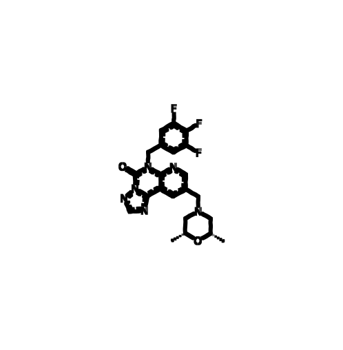 C[C@@H]1CN(Cc2cnc3c(c2)c2ncnn2c(=O)n3Cc2cc(F)c(F)c(F)c2)C[C@H](C)O1